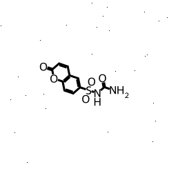 NC(=O)NS(=O)(=O)c1ccc2oc(=O)ccc2c1